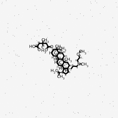 C=C(C)[C@@H]1CC[C@]2(CCCN(C)CCOC)CC[C@]3(C)[C@H](CC[C@@H]4[C@@]5(C)CC[C@H](OC(=O)CC(C)(C)CC(=O)O)C(C)(C)[C@@H]5CC[C@]43C)[C@@H]12